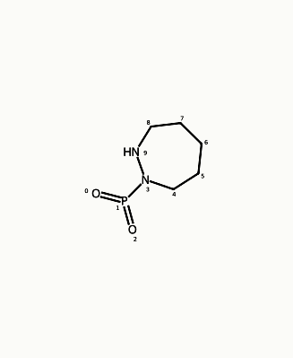 O=P(=O)N1CCCCCN1